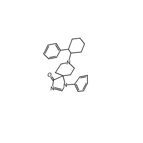 O=C1N=CN(c2ccccc2)C12CCN(C1CCCCC1c1ccccc1)CC2